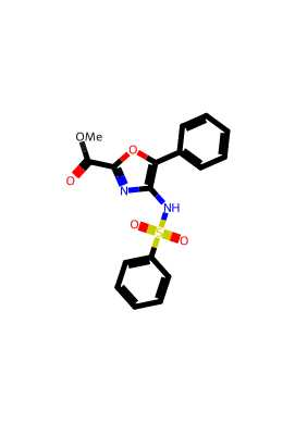 COC(=O)c1nc(NS(=O)(=O)c2ccccc2)c(-c2ccccc2)o1